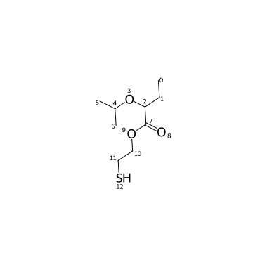 CCC(OC(C)C)C(=O)OCCS